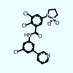 O=C(Nc1cc(Cl)cc(-c2cccnc2)c1)c1cc(N2CCCS2(=O)=O)cc(Cl)c1Cl